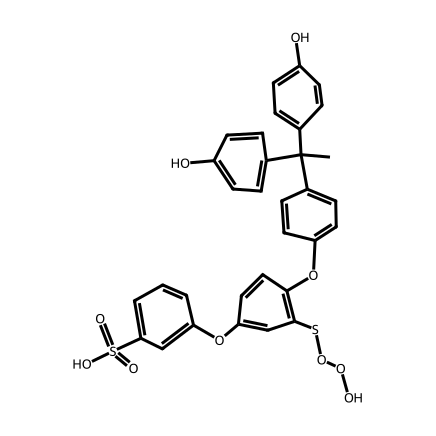 CC(c1ccc(O)cc1)(c1ccc(O)cc1)c1ccc(Oc2ccc(Oc3cccc(S(=O)(=O)O)c3)cc2SOOO)cc1